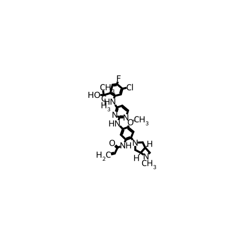 C=CC(=O)Nc1cc(Nc2nccc(Nc3cc(Cl)c(F)cc3C(C)(C)O)n2)c(OC)cc1N1C[C@H]2CN(C)[C@H]2C1